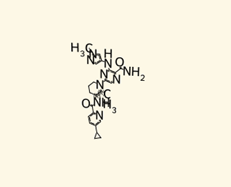 C[C@@H]1[C@H](NC(=O)c2ccc(C3CC3)cn2)CCCN1c1cnc(C(N)=O)c(Nc2cnn(C)c2)n1